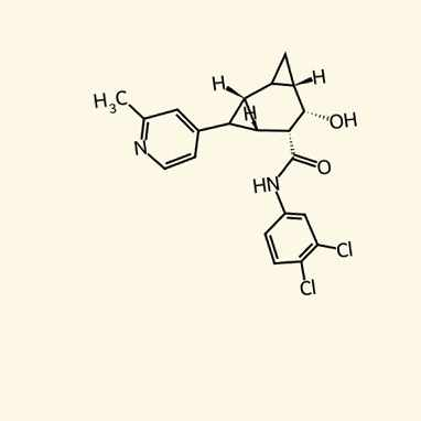 Cc1cc(C2[C@@H]3C4C[C@@H]4[C@H](O)[C@H](C(=O)Nc4ccc(Cl)c(Cl)c4)[C@H]23)ccn1